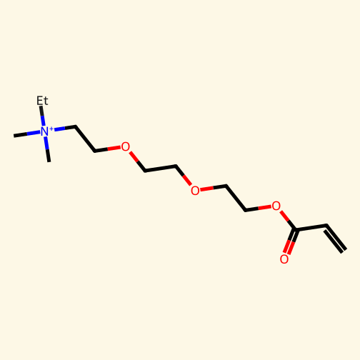 C=CC(=O)OCCOCCOCC[N+](C)(C)CC